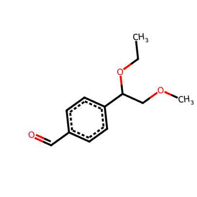 CCOC(COC)c1ccc(C=O)cc1